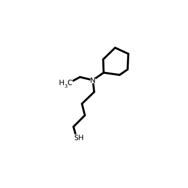 CCN(CCCCS)C1CCCCC1